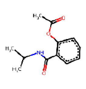 CC(=O)Oc1ccccc1C(=O)NC(C)C